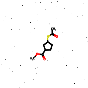 COC(=O)C1CCC(SC(C)=O)C1